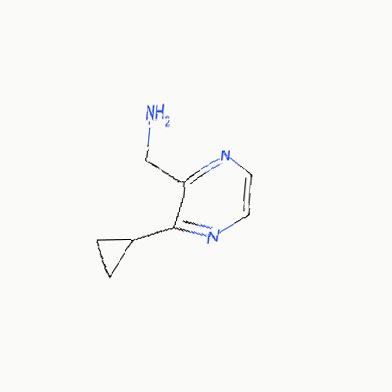 NCc1nccnc1C1CC1